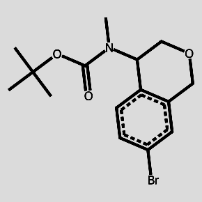 CN(C(=O)OC(C)(C)C)C1COCc2cc(Br)ccc21